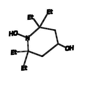 CCC1(CC)CC(O)CC(CC)(CC)N1O